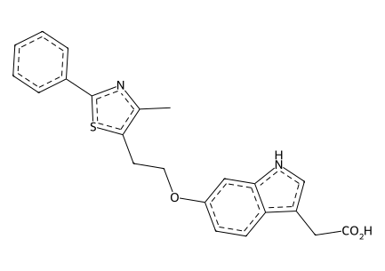 Cc1nc(-c2ccccc2)sc1CCOc1ccc2c(CC(=O)O)c[nH]c2c1